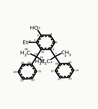 CCc1c(O)ccc(C(C)(C)c2ccccc2)c1C(C)(C)c1ccccc1